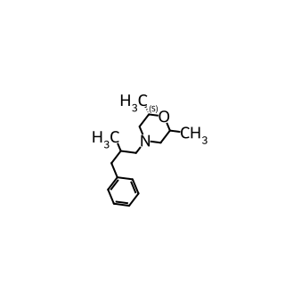 CC(Cc1ccccc1)CN1CC(C)O[C@@H](C)C1